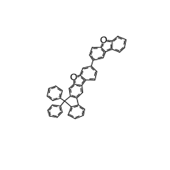 c1ccc(C2(c3ccccc3)c3ccccc3-c3cc4c(cc32)oc2cc(-c3ccc5oc6ccccc6c5c3)ccc24)cc1